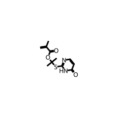 C=C(C)C(=O)OC(C)(C)Sc1nccc(=O)[nH]1